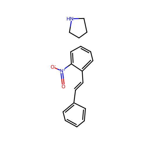 C1CCNC1.O=[N+]([O-])c1ccccc1C=Cc1ccccc1